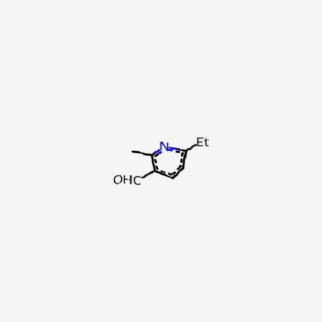 CCc1ccc(C=O)c(C)n1